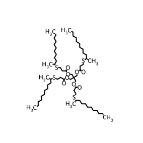 CCCCCCCCCCC(C)SCCC(=O)OCC(COC(=O)CCSC(C)CCCCCCCCCC)(COC(=O)CCSC(C)CCCCCCCCCC)COC(=O)CCSC(C)CCCCCCCCCC